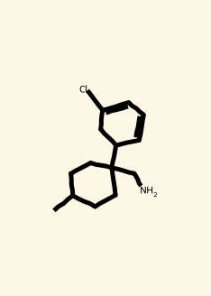 CC1CCC(CN)(C2C=CC=C(Cl)C2)CC1